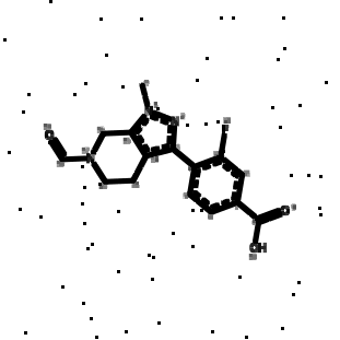 Cn1nc(-c2ccc(C(=O)O)cc2F)c2c1CN(C=O)CC2